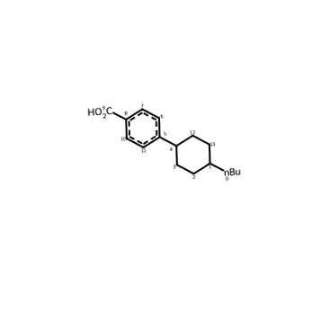 CCCCC1CCC(c2ccc(C(=O)O)cc2)CC1